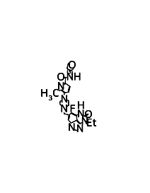 CCN1C(=O)Nc2c(F)c(CN3CCN(c4ccc(C(=O)N[C@H]5CCOC5)nc4C)CC3)cc3ncnc1c23